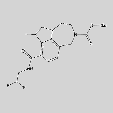 CC1CN2CCN(C(=O)OC(C)(C)C)Cc3ccc(C(=O)NCC(F)F)c1c32